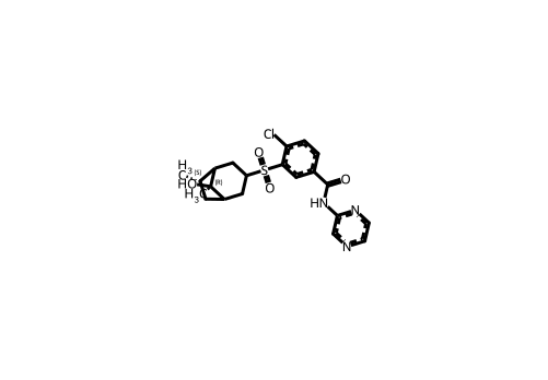 C[C@H]1CC2CC(S(=O)(=O)c3cc(C(=O)Nc4cnccn4)ccc3Cl)CC1[C@]2(C)O